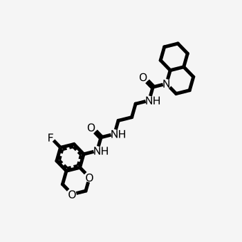 O=C(NCCCNC(=O)N1CCCC2CCCCC21)Nc1cc(F)cc2c1OCOC2